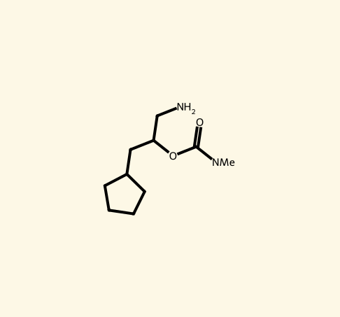 CNC(=O)OC(CN)CC1CCCC1